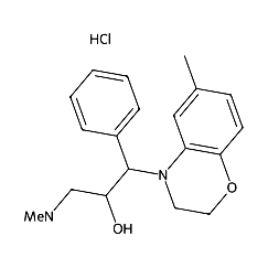 CNCC(O)C(c1ccccc1)N1CCOc2ccc(C)cc21.Cl